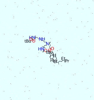 C=C(NC(C)(C)CCN(CCCCNCCC(C)(C)NC(=O)OC(C)(C)C)C(=C)CCC(=O)O[C@H]1CC[C@@]2(C)C(=CC[C@H]3[C@@H]4CC[C@H]([C@H](C)CC[C@@H](CC)C(C)C)[C@@]4(C)CC[C@@H]32)C1)OC(C)(C)C